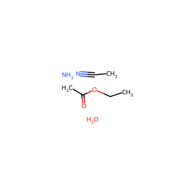 CC#N.CCOC(C)=O.N.O